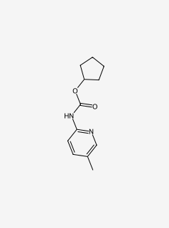 Cc1ccc(NC(=O)OC2CCCC2)nc1